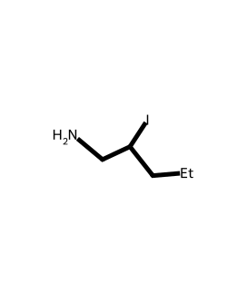 CCCC(I)CN